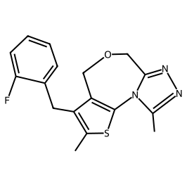 Cc1sc2c(c1Cc1ccccc1F)COCc1nnc(C)n1-2